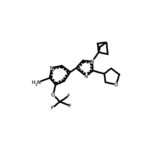 Nc1ncc(-c2cn(C34CC(C3)C4)c(C3CCOC3)n2)cc1OC(F)(F)F